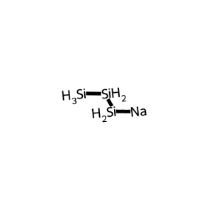 [Na][SiH2][SiH2][SiH3]